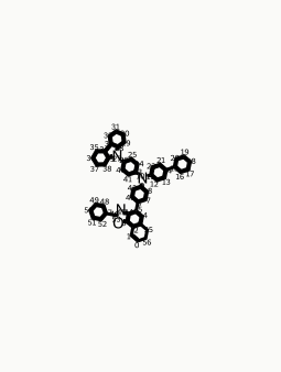 C1=Cc2c(cc(-c3ccc(N(c4ccc(-c5ccccc5)cc4)c4ccc(-n5c6ccccc6c6ccccc65)cc4)cc3)c3nc(-c4ccccc4)oc23)CC1